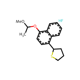 COC(C)Oc1ccc(C2CCCS2)c2ccccc12.F